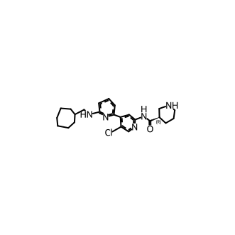 O=C(Nc1cc(-c2cccc(NCC3CCCCCC3)n2)c(Cl)cn1)[C@@H]1CCCNC1